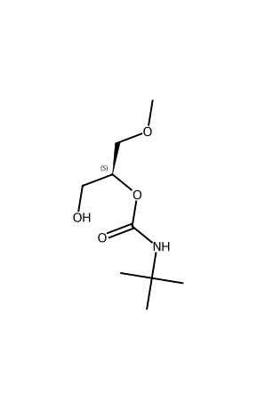 COC[C@H](CO)OC(=O)NC(C)(C)C